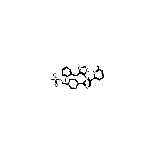 Cc1cccc(-c2cnc(C3CCC(CNS(C)(=O)=O)CC3)n2C2=C(Cc3ccccc3)OCO2)n1